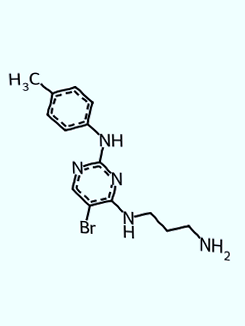 Cc1ccc(Nc2ncc(Br)c(NCCCN)n2)cc1